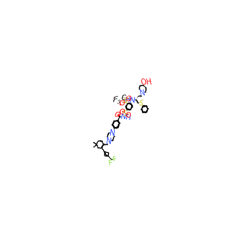 CC1(C)CCC(CN2CCN(c3ccc(C(=O)NS(=O)(=O)c4ccc(N[C@H](CCN5CCC(O)CC5)CSc5ccccc5)c(S(=O)(=O)C(F)(F)F)c4)cc3)CC2)=C(C23CC(C(F)F)(C2)C3)C1